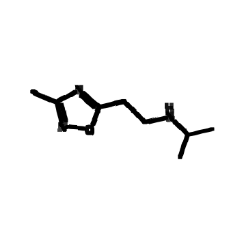 Cc1noc(CCNC(C)C)n1